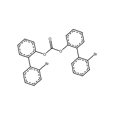 O=C(Oc1ccccc1-c1ccccc1Br)Oc1ccccc1-c1ccccc1Br